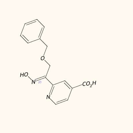 O=C(O)c1ccnc(/C(COCc2ccccc2)=N/O)c1